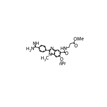 CCCOc1cc2c(cc1C(=O)NCCC(=O)OC)nc(-c1ccc(C(=N)N)cc1)n2C